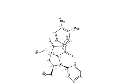 COc1cc(C(=O)N2[C@@H](c3ccccn3)[C@@H](CO)C[C@@]2(CC(C)C)C(=O)OC(C)(C)C)ccc1C(C)(C)C